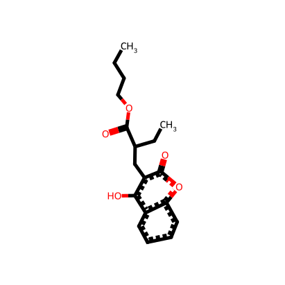 CCCCOC(=O)C(CC)Cc1c(O)c2ccccc2oc1=O